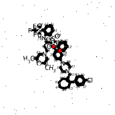 CC1CN(CC[C@H](CSc2ccccc2)Nc2c(S(=O)(=O)NC(=O)c3ccc(N4CCN(CC5=C(c6ccc(Cl)cc6)CCCCC5)CC4)cc3)cccc2S(=O)(=O)C(F)(F)F)CC(C)O1